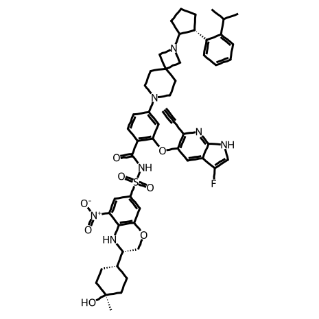 C#Cc1nc2[nH]cc(F)c2cc1Oc1cc(N2CCC3(CC2)CN(C2CCC[C@@H]2c2ccccc2C(C)C)C3)ccc1C(=O)NS(=O)(=O)c1cc2c(c([N+](=O)[O-])c1)N[C@@H]([C@H]1CC[C@](C)(O)CC1)CO2